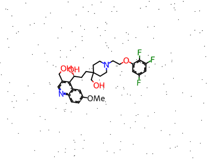 COc1ccc2ncc(CO)c([C@@H](O)CCC3(CO)CCN(CCOc4cc(F)cc(F)c4F)CC3)c2c1